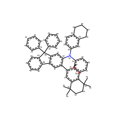 Cc1cc2c(cc1-c1cc3c(cc1N(c1ccccc1)c1ccc4c(c1)CCCC4)C(c1ccccc1)(c1ccccc1)c1ccccc1-3)C(C)(C)CCC2(C)C